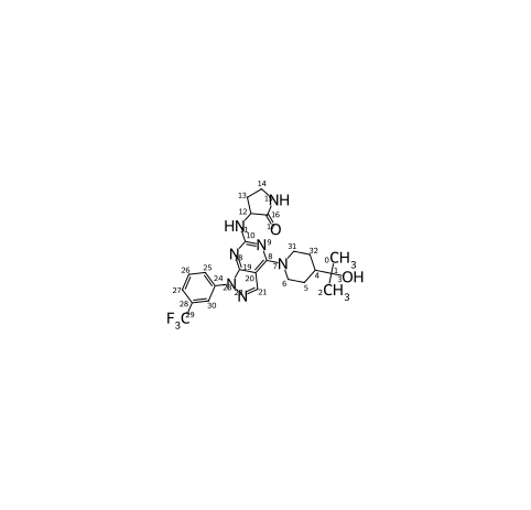 CC(C)(O)C1CCN(c2nc(NC3CCNC3=O)nc3c2cnn3-c2cccc(C(F)(F)F)c2)CC1